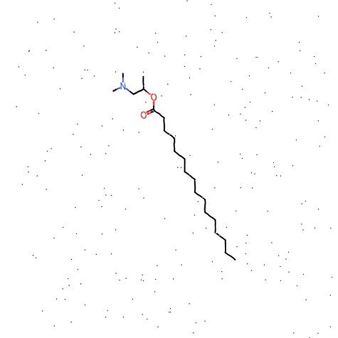 CCCCCCCCCCCCCCCC(=O)OC(C)CN(C)C